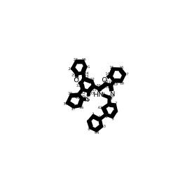 c1ccc(-c2cccc(C3N=c4c(oc5ccccc45)=C(c4cc5c6ccccc6oc5c5c4sc4ccccc45)N3)c2)cc1